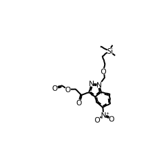 C[Si](C)(C)CCOCn1nc(C(=O)COC=O)c2cc([N+](=O)[O-])ccc21